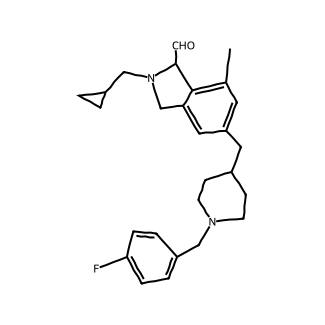 Cc1cc(CC2CCN(Cc3ccc(F)cc3)CC2)cc2c1C(C=O)N(CC1CC1)C2